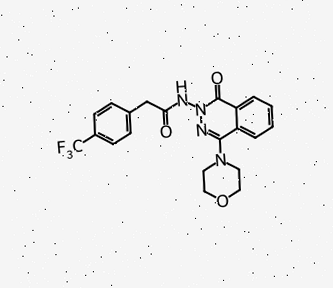 O=C(Cc1ccc(C(F)(F)F)cc1)Nn1nc(N2CCOCC2)c2ccccc2c1=O